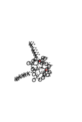 O=P([O-])([O-])C([N+]([O-])(C(P(=O)([O-])[O-])P(=O)([O-])[O-])C(P(=O)([O-])[O-])P(=O)([O-])[O-])P(=O)([O-])[O-].[K+].[K+].[K+].[K+].[K+].[K+].[K+].[K+].[K+].[K+].[K+].[K+]